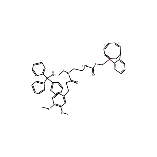 COc1ccc(CCC(=O)N(CCNC(=O)OCC2C3=CCC(/C=C\C=C/3)c3ccccc32)CCNC(c2ccccc2)(c2ccccc2)c2ccccc2)cc1OC